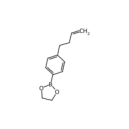 C=CCCc1ccc(B2OCCO2)cc1